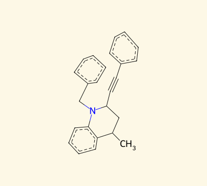 CC1CC(C#Cc2ccccc2)N(Cc2ccccc2)c2ccccc21